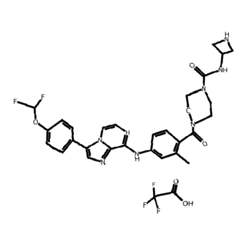 Cc1cc(Nc2nccn3c(-c4ccc(OC(F)F)cc4)cnc23)ccc1C(=O)N1CCN(C(=O)NC2CNC2)CC1.O=C(O)C(F)(F)F